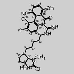 CN1C(=O)N[C@H]2CS[C@@H](CCCCCNC(=N)NC(=O)c3c(O)ccc(C#N)c3-c3cccc(F)c3Cl)C21